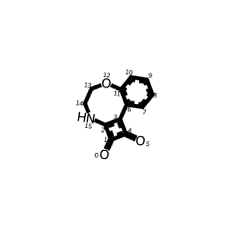 O=c1c2c(c1=O)-c1ccccc1OCCN2